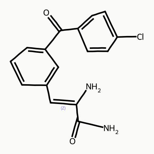 NC(=O)/C(N)=C/c1cccc(C(=O)c2ccc(Cl)cc2)c1